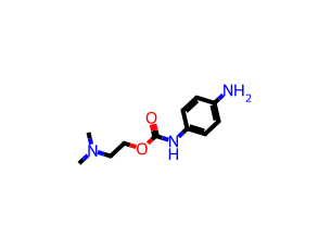 CN(C)CCOC(=O)Nc1ccc(N)cc1